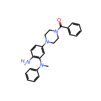 CN(c1ccccc1)c1cc(N2CCN(C(=O)c3ccccc3)CC2)ccc1N